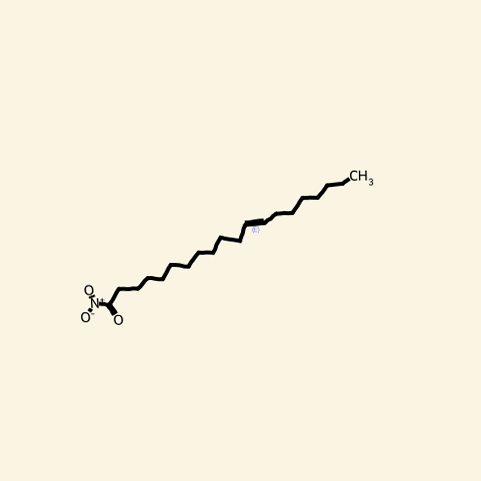 CCCCCCC/C=C/CCCCCCCCCCC(=O)[N+](=O)[O-]